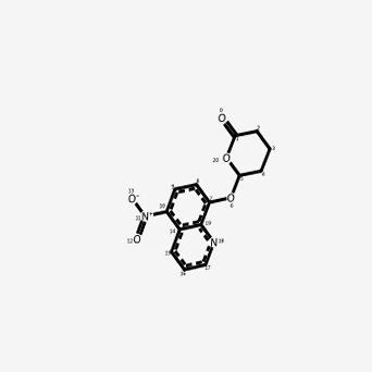 O=C1CCCC(Oc2ccc([N+](=O)[O-])c3cccnc23)O1